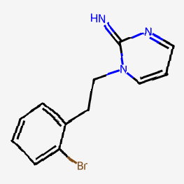 N=c1ncccn1CCc1ccccc1Br